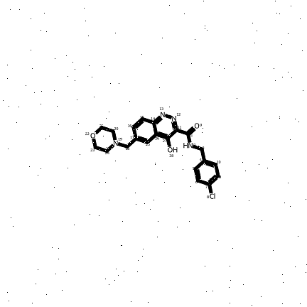 O=C(NCc1ccc(Cl)cc1)c1nnc2ccc(CN3CCOCC3)cc2c1O